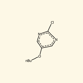 CCCCOc1cnc(Cl)nc1